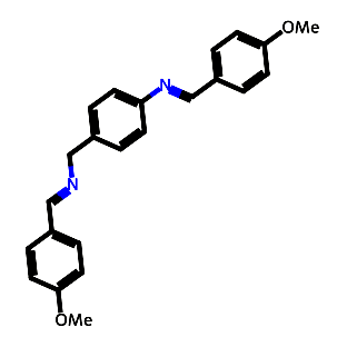 COc1ccc(C=NCc2ccc(N=Cc3ccc(OC)cc3)cc2)cc1